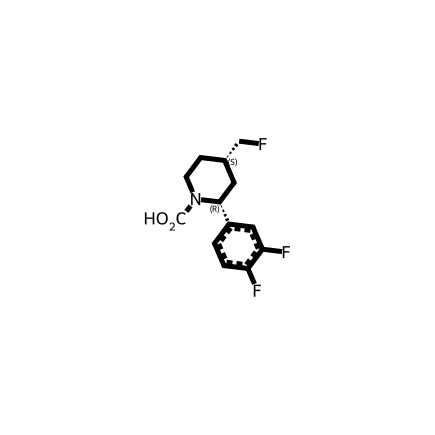 O=C(O)N1CC[C@H](CF)C[C@@H]1c1ccc(F)c(F)c1